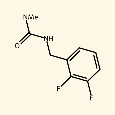 CNC(=O)NCc1cccc(F)c1F